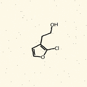 OCCc1ccoc1Cl